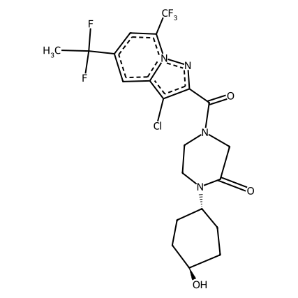 CC(F)(F)c1cc(C(F)(F)F)n2nc(C(=O)N3CCN([C@H]4CC[C@H](O)CC4)C(=O)C3)c(Cl)c2c1